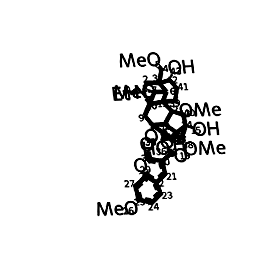 CCN1CC2(COC)C3[C@H](OC)C4C1C3(C1C[C@@]3(O)[C@H](OC(=O)c5cc6ccc(OC)cc6oc5=O)C1[C@]4(OC(C)=O)[C@@H](O)[C@@H]3OC)[C@@H](OC)C[C@H]2O